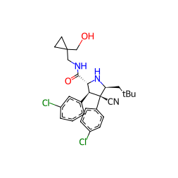 CC(C)(C)C[C@@H]1N[C@@H](C(=O)NCC2(CO)CC2)[C@H](c2cccc(Cl)c2)[C@@]1(C#N)c1ccc(Cl)cc1